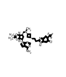 CN(C[C@H]1C[C@@H](n2ccc3c(N)ncnc32)[C@@H]2OC(C)(C)O[C@H]12)[C@H]1C[C@@H](CCCc2nc3cc(C(F)(F)F)c(Cl)cc3[nH]2)C1